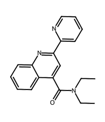 CCN(CC)C(=O)c1cc(-c2ccccn2)nc2ccccc12